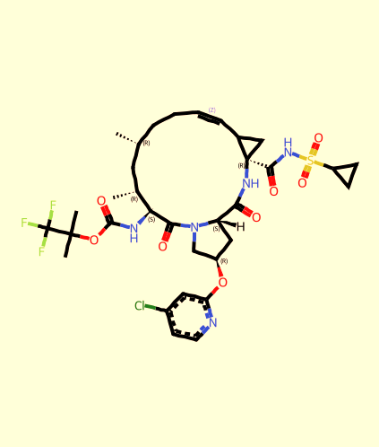 C[C@@H]1CC/C=C\C2C[C@@]2(C(=O)NS(=O)(=O)C2CC2)NC(=O)[C@@H]2C[C@@H](Oc3cc(Cl)ccn3)CN2C(=O)[C@@H](NC(=O)OC(C)(C)C(F)(F)F)[C@H](C)C1